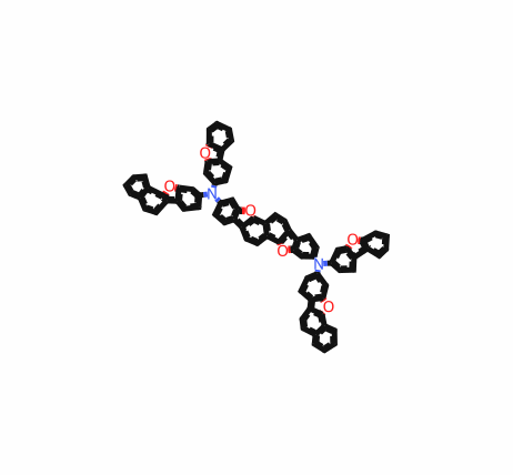 c1ccc2c(c1)ccc1c3ccc(N(c4ccc5c(c4)oc4ccccc45)c4ccc5c(c4)oc4c5ccc5c4ccc4c6ccc(N(c7ccc8c(c7)oc7ccccc78)c7ccc8c(c7)oc7c9ccccc9ccc87)cc6oc45)cc3oc21